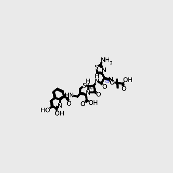 CC(C)(O/N=C(\C(=O)NC1C(=O)N2C(C(=O)O)=C(CNC(=O)c3cccc4cc(O)c(O)nc34)CS[C@@H]12)c1csc(N)n1)C(=O)O